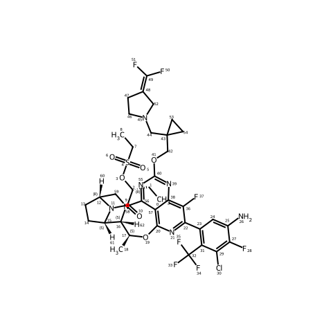 CC[C@@H](OS(=O)(=O)CC)C(=O)N1[C@@H]2CC[C@H]1[C@H]1[C@H](C)Oc3nc(-c4cc(N)c(F)c(Cl)c4C(F)(F)F)c(F)c4nc(OCC5(CN6CCC(=C(F)F)C6)CC5)nc(c34)N1C2